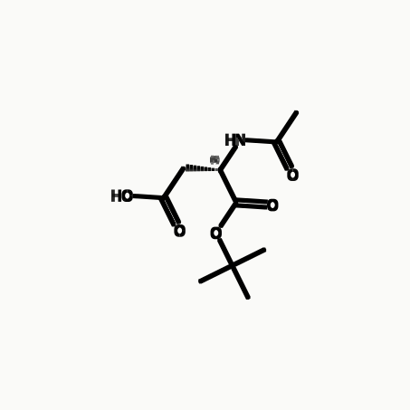 CC(=O)N[C@@H](CC(=O)O)C(=O)OC(C)(C)C